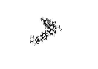 CN(C)Cc1ccc(Oc2ccncc2-c2nn3cc(F)cnc3c2C(N)=O)cn1